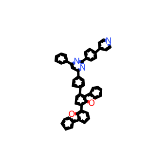 c1ccc(-c2cc(-c3ccc(-c4ccc(-c5cccc6c5oc5ccccc56)c5oc6ccccc6c45)cc3)nc(-c3ccc(-c4ccncc4)cc3)n2)cc1